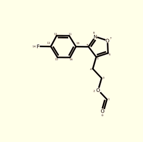 O=COCCc1conc1-c1ccc(F)cc1